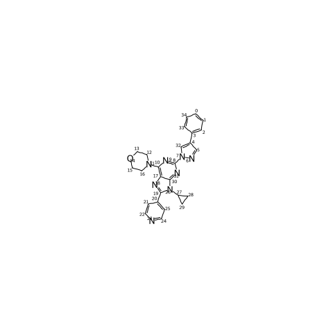 c1ccc(-c2cnn(-c3nc(N4CCOCC4)c4nc(-c5ccncc5)n(C5CC5)c4n3)c2)cc1